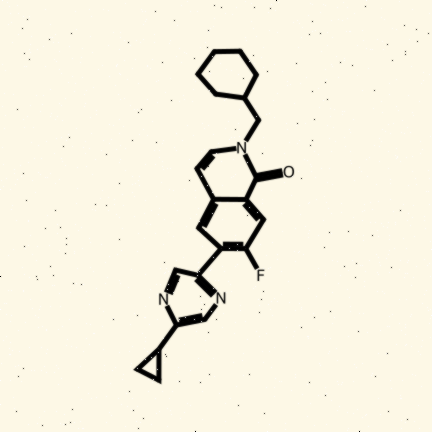 O=c1c2cc(F)c(-c3cnc(C4CC4)cn3)cc2ccn1CC1CCCCC1